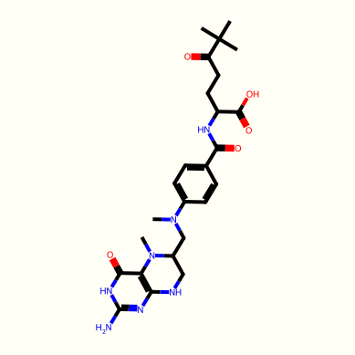 CN(CC1CNc2nc(N)[nH]c(=O)c2N1C)c1ccc(C(=O)NC(CCC(=O)C(C)(C)C)C(=O)O)cc1